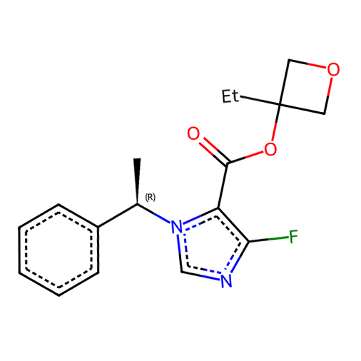 CCC1(OC(=O)c2c(F)ncn2[C@H](C)c2ccccc2)COC1